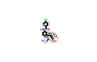 C[C@@H]1[C@@](C)(CO)SC(N)=N[C@]1(CF)c1cc(NC(=O)c2ccc(Cl)cn2)ccc1F